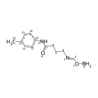 BOC=NCCCC(=O)Nc1ccc(C)cc1